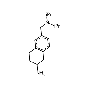 CC(C)N(Cc1ccc2c(c1)CCC(N)C2)C(C)C